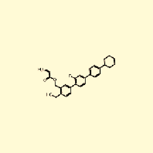 C=CC(=O)OCc1cc(-c2ccc(-c3ccc(C4CCCCC4)cc3)cc2F)ccc1CO